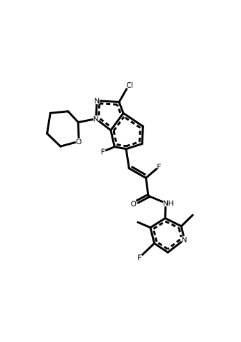 Cc1ncc(F)c(C)c1NC(=O)/C(F)=C/c1ccc2c(Cl)nn(C3CCCCO3)c2c1F